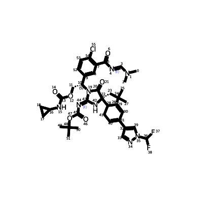 CN(C)/C=N/C(=O)c1cc([C@@H](COC(=O)NC2CC2)N2C(=O)[C@@](CC(C)(C)C)(C3C=CC(c4cnn(C(F)F)c4)=CC3)N/C2=N\C(=O)OC(C)(C)C)ccc1Cl